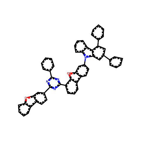 c1ccc(-c2cc(-c3ccccc3)c3c4ccccc4n(-c4ccc5c(c4)oc4c(-c6nc(-c7ccccc7)nc(-c7ccc8c(c7)oc7ccccc78)n6)cccc45)c3c2)cc1